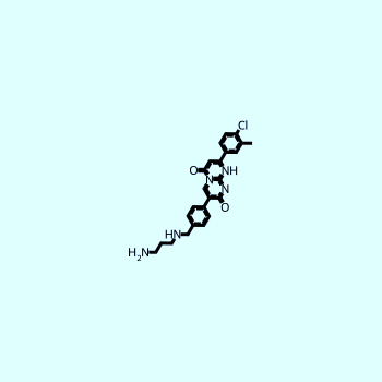 Cc1cc(-c2cc(=O)n3cc(-c4ccc(CNCCCN)cc4)c(=O)nc3[nH]2)ccc1Cl